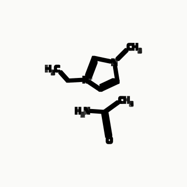 CC(N)=O.CC[n+]1ccn(C)c1